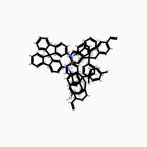 C=Cc1ccc(CC2(c3ccc(C)cc3)c3ccccc3-c3ccc(N(c4ccccc4)c4ccc5c(c4)C4(c6ccccc6-c6ccc(N(c7ccccc7)c7ccc8c(c7)C7(c9ccc(C)cc9)CC9=C[C@@H](C%10=CCCC7=C%108)C(C=C)CC9)cc64)c4ccccc4-5)cc32)cc1